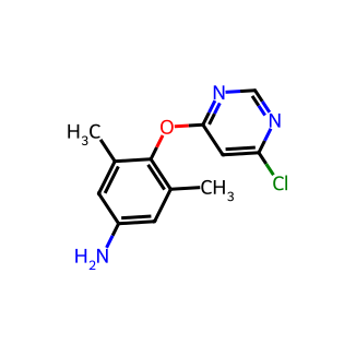 Cc1cc(N)cc(C)c1Oc1cc(Cl)ncn1